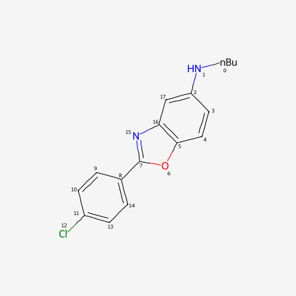 CCCCNc1ccc2oc(-c3ccc(Cl)cc3)nc2c1